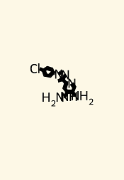 NNc1cc(-c2cn(-c3ccc(Cl)cc3)cn2)ncc1N